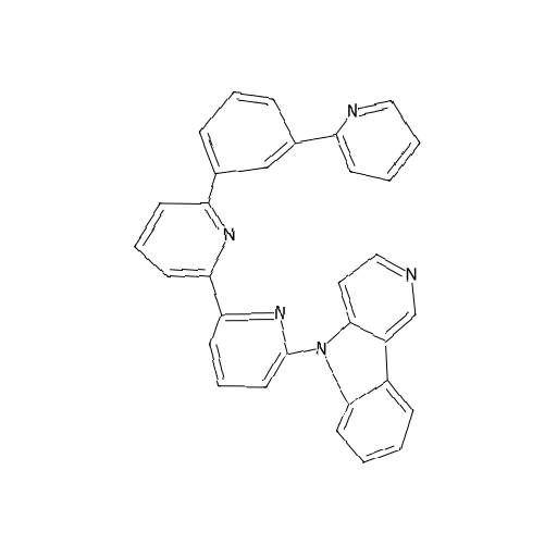 c1ccc(-c2cccc(-c3cccc(-c4cccc(-n5c6ccccc6c6cnccc65)n4)n3)c2)nc1